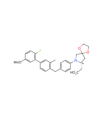 COc1ccc(F)c(-c2ccc(Cc3ccc(N4CC5(C[C@@H]4CC(=O)O)OCCO5)cc3)c(C)c2)c1